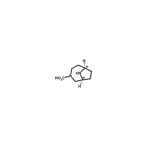 O=C(O)N1CC[C@H]2CC[C@@H](C1)N2